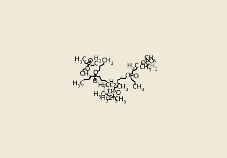 CC(C)OP(=O)(C(C)C)C(C)C.CCCCOP(=O)(CCCC)CCCC.CCCOP(=O)(CCC)CCC.CCOP(=O)(CC)CC.COP(C)(C)=O